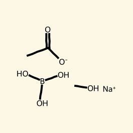 CC(=O)[O-].CO.OB(O)O.[Na+]